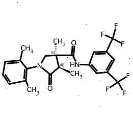 Cc1cccc(C)c1N1C[C@@](C)(C(=O)Nc2cc(C(F)(F)F)cc(C(F)(F)F)c2)[C@@H](C)C1=O